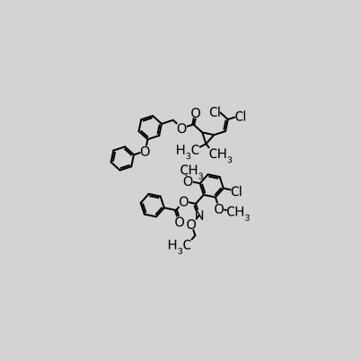 CC1(C)C(C=C(Cl)Cl)C1C(=O)OCc1cccc(Oc2ccccc2)c1.CCO/N=C(\OC(=O)c1ccccc1)c1c(OC)ccc(Cl)c1OC